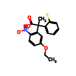 CCOc1ccc([N+](=O)[O-])c(C(C)(C(=O)O)c2ccccc2F)c1